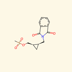 CS(=O)(=O)OC[C@@H]1C[C@@H]1CN1C(=O)c2ccccc2C1=O